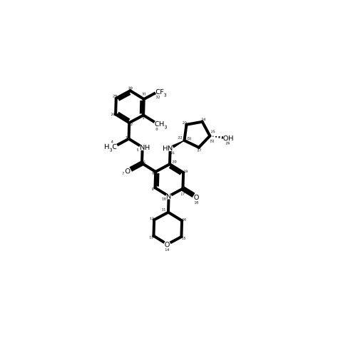 Cc1c(C(C)NC(=O)c2cn(C3CCOCC3)c(=O)cc2N[C@H]2CC[C@H](O)C2)cccc1C(F)(F)F